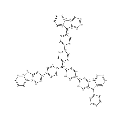 c1ccc(-n2c3ccccc3c3cc(-c4ccc(N(c5ccc(-c6ccc(-n7c8ccccc8c8ccccc87)cc6)cc5)c5ccc(-c6ccc7c(c6)oc6ccccc67)cc5)cc4)ccc32)cc1